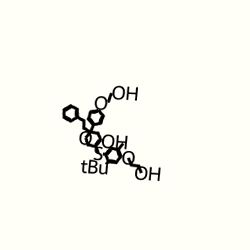 Cc1cc(SC2=C(O)CC(CCc3ccccc3)(c3ccc(OCCO)cc3)OC2)c(C(C)(C)C)cc1OCCO